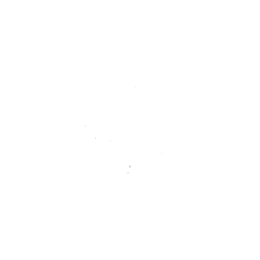 CC(C)c1cc(F)c2c(c1O)C(C)(C)CO2